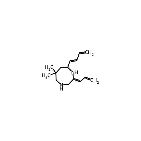 C=C/C=C1/CNCC(C)(C)CC(/C=C/C=C)N1